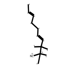 CC=CCCC=CC(C)(C)C(C)(C)C#N